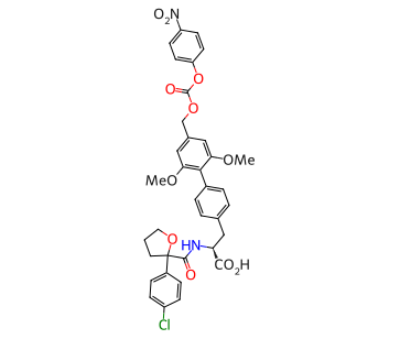 COc1cc(COC(=O)Oc2ccc([N+](=O)[O-])cc2)cc(OC)c1-c1ccc(C[C@H](NC(=O)C2(c3ccc(Cl)cc3)CCCO2)C(=O)O)cc1